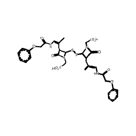 CC(=CNC(=O)COc1ccccc1)C1C(=O)N(CC(=O)O)C1SSC1C(C(C)=CNC(=O)COc2ccccc2)C(=O)N1CC(=O)O